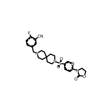 N#Cc1cc(CN2CCC3(CC2)CCN(S(=O)(=O)c2ccc(N4CCOC4=O)nc2)CC3)ccc1F